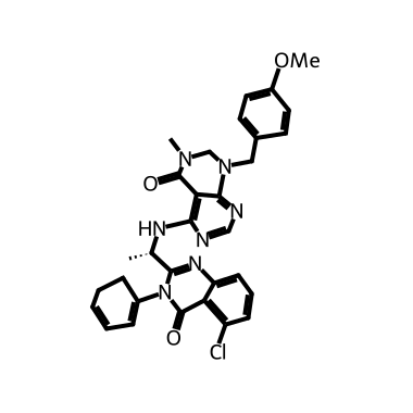 COc1ccc(CN2CN(C)C(=O)c3c(N[C@@H](C)c4nc5cccc(Cl)c5c(=O)n4C4=CC=CCC4)ncnc32)cc1